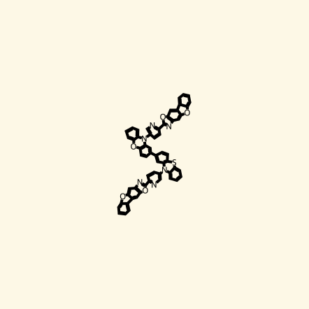 c1ccc2c(c1)Oc1ccc(-c3ccc4c(c3)N(c3ccc(-c5nc6cc7oc8ccccc8c7cc6o5)nc3)c3ccccc3S4)cc1N2c1ccc(-c2nc3cc4oc5ccccc5c4cc3o2)nc1